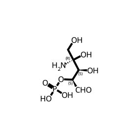 N[C@@](O)(CO)[C@@H](O)[C@@H](C=O)OP(=O)(O)O